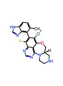 Cc1ccc2[nH]cnc2c1-c1c(Cl)c2c3c(ncnc3c1F)N1CCNC[C@H]1CO2